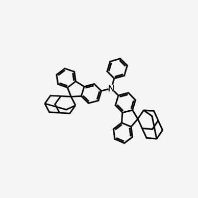 c1ccc(N(c2ccc3c(c2)-c2ccccc2C32C3CC4CC(C3)CC2C4)c2ccc3c(c2)-c2ccccc2C32C3CC4CC(C3)CC2C4)cc1